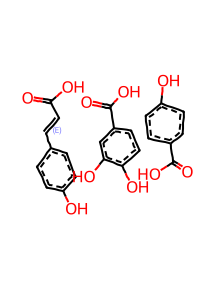 O=C(O)/C=C/c1ccc(O)cc1.O=C(O)c1ccc(O)c(O)c1.O=C(O)c1ccc(O)cc1